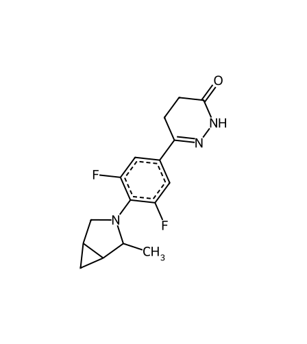 CC1C2CC2CN1c1c(F)cc(C2=NNC(=O)CC2)cc1F